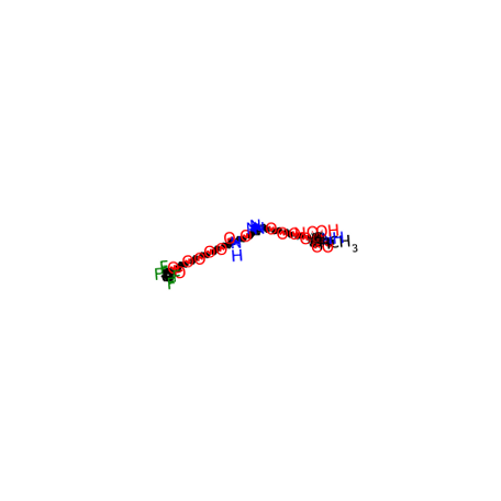 CC(=O)N[C@H]1[C@H]2OC[C@](COCCOCCOCCOCCn3cc(COCCNC(=O)CCOCCOCCOCCOCCC(=O)Oc4c(F)c(F)cc(F)c4F)nn3)(O2)[C@H](O)[C@@H]1O